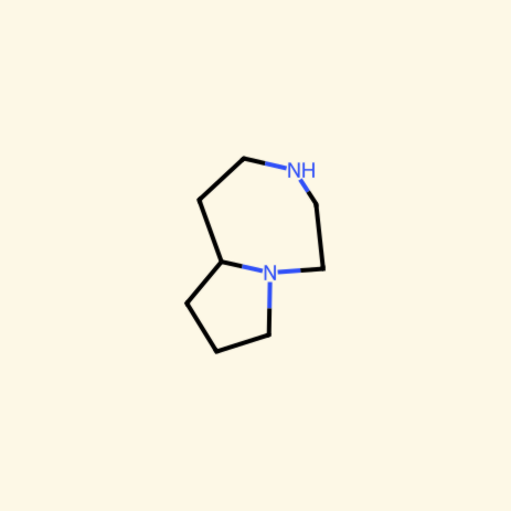 C1CC2CCNCCN2C1